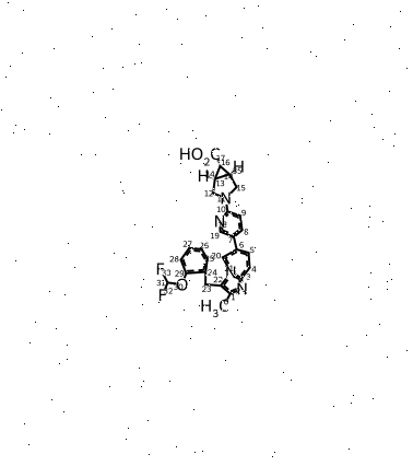 Cc1nc2ccc(-c3ccc(N4C[C@@H]5[C@H](C4)[C@H]5C(=O)O)nc3)cn2c1Cc1ccccc1OC(F)F